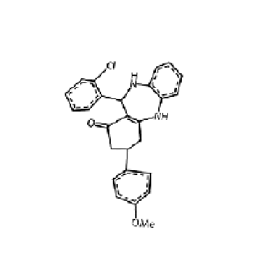 COc1ccc(C2CC(=O)C3=C(C2)Nc2ccccc2NC3c2ccccc2Cl)cc1